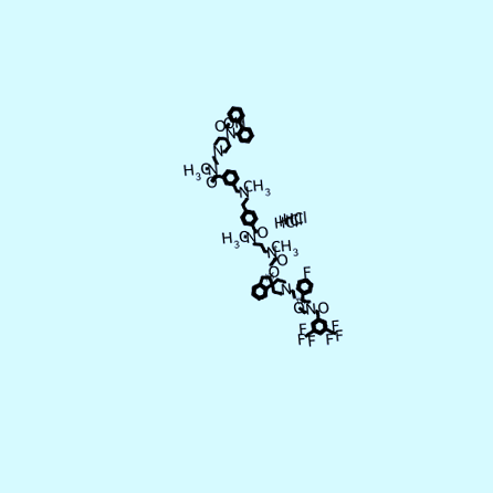 CN(CCc1ccc(C(=O)N(C)CCCN(C)C(=O)CO[C@H]2Cc3ccccc3C23CCN(CC[C@]2(c4ccc(F)cc4)CN(C(=O)c4cc(C(F)(F)F)cc(C(F)(F)F)c4)CO2)CC3)cc1)Cc1cccc(C(=O)N(C)CCN2CCC(N(C(=O)O)c3ccccc3-c3ccccc3)CC2)c1.Cl.Cl.Cl